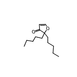 CCCCCC1(CCCCC)OC=CC1=O